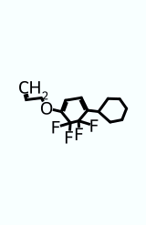 C=CCOC1=CC=C(C2CCCCC2)C(F)(F)C1(F)F